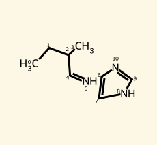 CCC(C)C=N.c1c[nH]cn1